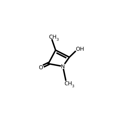 CC1=C(O)N(C)C1=O